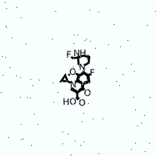 COc1c(N2CCCC(N)(CF)C2)c(F)cc2c(=O)c(C(=O)O)cn(C3CC3)c12